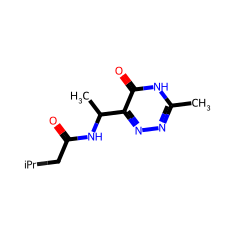 Cc1nnc(C(C)NC(=O)CC(C)C)c(=O)[nH]1